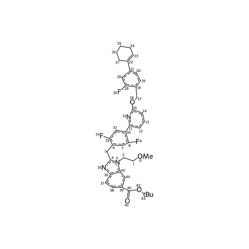 COCCn1c(Cc2cc(F)c(-c3cccc(OCc4ccc(C5=CCCCC5)cc4F)n3)cc2F)nc2ccc(C(=O)OC(C)(C)C)cc21